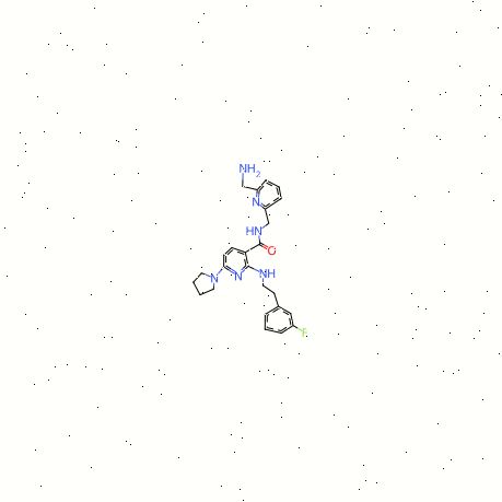 NCc1cccc(CNC(=O)c2ccc(N3CCCC3)nc2NCCc2cccc(F)c2)n1